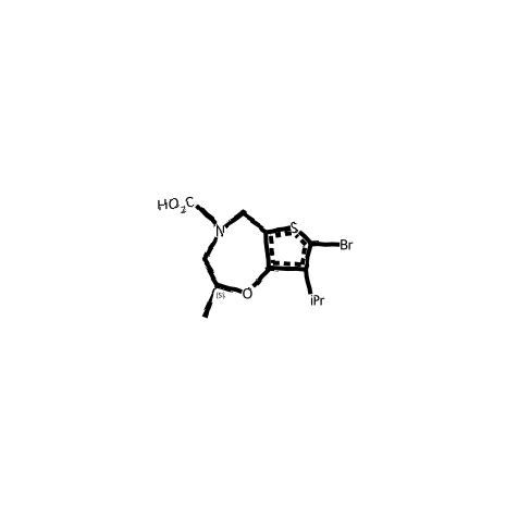 CC(C)c1c(Br)sc2c1O[C@@H](C)CN(C(=O)O)C2